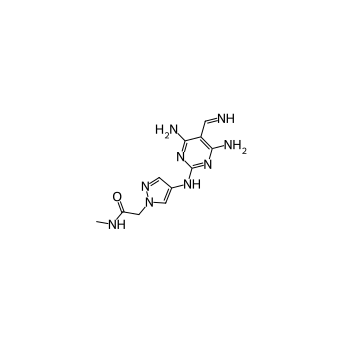 CNC(=O)Cn1cc(Nc2nc(N)c(C=N)c(N)n2)cn1